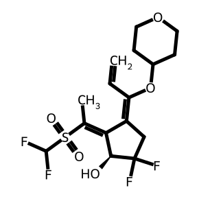 C=C/C(OC1CCOCC1)=C1/CC(F)(F)[C@@H](O)/C1=C(/C)S(=O)(=O)C(F)F